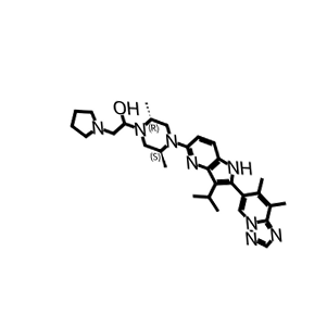 Cc1c(-c2[nH]c3ccc(N4C[C@@H](C)N(C(O)CN5CCCC5)C[C@@H]4C)nc3c2C(C)C)cn2ncnc2c1C